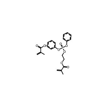 C=C(C)C(=O)O.C=C(C)C(=O)OCCOP(=O)(Oc1ccccc1)Oc1ccccc1